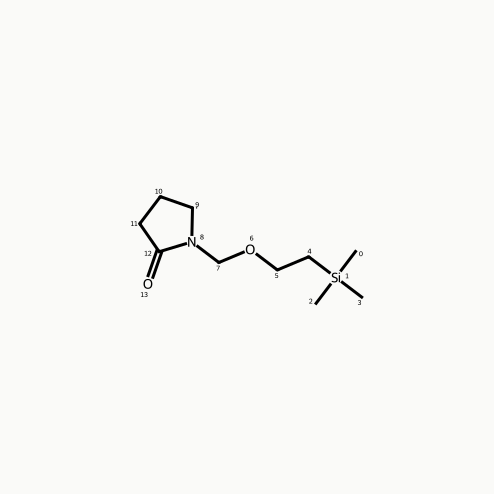 C[Si](C)(C)CCOCN1[CH]CCC1=O